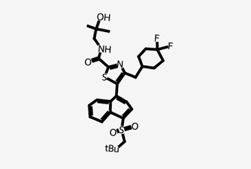 CC(C)(C)CS(=O)(=O)c1ccc(-c2sc(C(=O)NCC(C)(C)O)nc2CC2CCC(F)(F)CC2)c2ccccc12